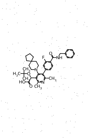 Cc1nc(C)c([C@H](OC(C)(C)C)C(=O)O)c(N2CCC3(CCCC3)CC2)c1-c1ccc(C(=O)NCc2ccccc2)c(F)c1